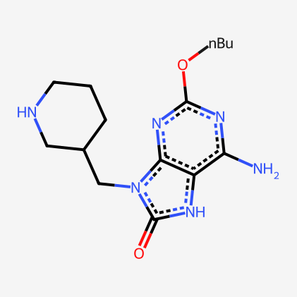 CCCCOc1nc(N)c2[nH]c(=O)n(CC3CCCNC3)c2n1